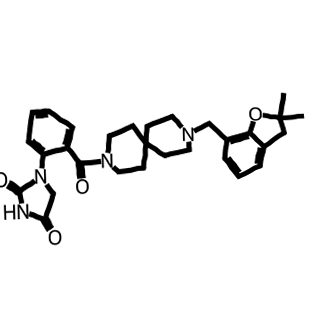 CC1(C)Cc2cccc(CN3CCC4(CC3)CCN(C(=O)c3ccccc3N3CC(=O)NC3=O)CC4)c2O1